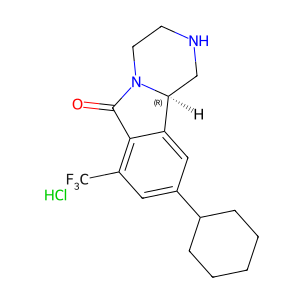 Cl.O=C1c2c(cc(C3CCCCC3)cc2C(F)(F)F)[C@@H]2CNCCN12